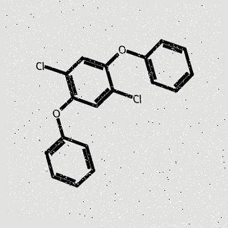 Clc1cc(Oc2ccccc2)c(Cl)cc1Oc1ccccc1